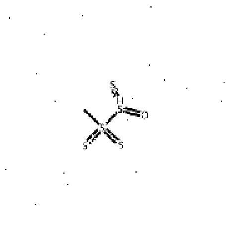 CS(=S)(=S)[SH](=O)=S